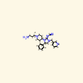 C[C@@H](CCN)N1CCC(N2C(=NC#N)N(Cc3cccnc3)C[C@H]2c2ccccc2)CC1